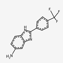 Nc1ccc2[nH]c(-c3ccc(C(F)(F)F)cc3)nc2c1